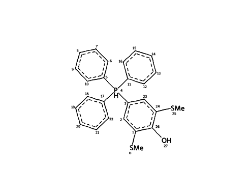 CSc1cc([PH](c2ccccc2)(c2ccccc2)c2ccccc2)cc(SC)c1O